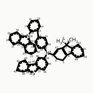 CC1(C)C2=C(CCC(N(c3ccc(-c4ccccc4-n4c5ccccc5c5ccccc54)cc3)c3ccc4sc5ccccc5c4c3)=C2)c2ccccc21